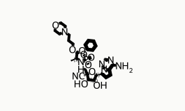 C[C@H](NP(=O)(OC[C@@]1(C#N)O[C@@H](c2ccc3c(N)ncnn23)[C@H](O)[C@@H]1O)Oc1ccccc1)C(=O)OCCCN1CCOCC1